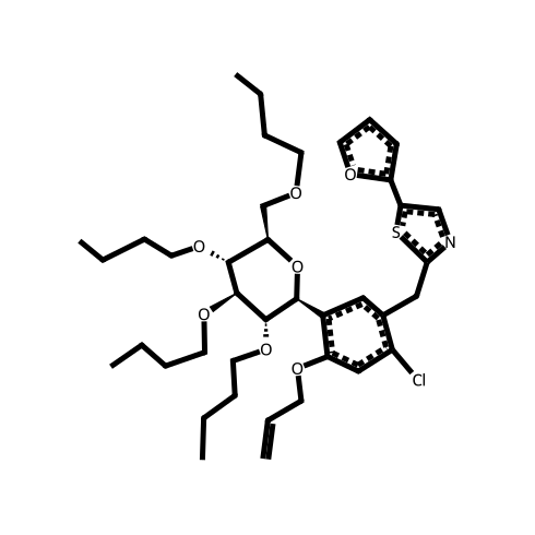 C=CCOc1cc(Cl)c(Cc2ncc(-c3ccco3)s2)cc1[C@@H]1O[C@H](COCCCC)[C@@H](OCCCC)[C@H](OCCCC)[C@H]1OCCCC